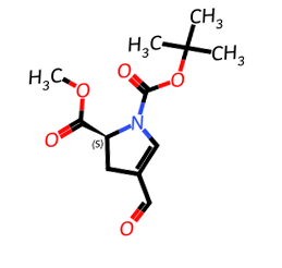 COC(=O)[C@@H]1CC(C=O)=CN1C(=O)OC(C)(C)C